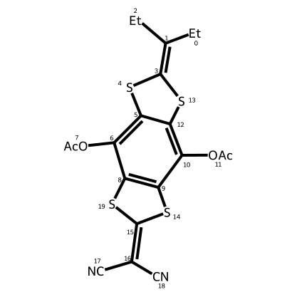 CCC(CC)=C1Sc2c(OC(C)=O)c3c(c(OC(C)=O)c2S1)SC(=C(C#N)C#N)S3